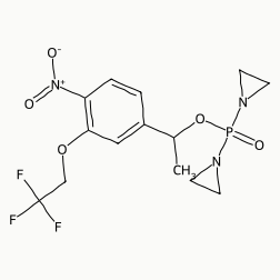 CC(OP(=O)(N1CC1)N1CC1)c1ccc([N+](=O)[O-])c(OCC(F)(F)F)c1